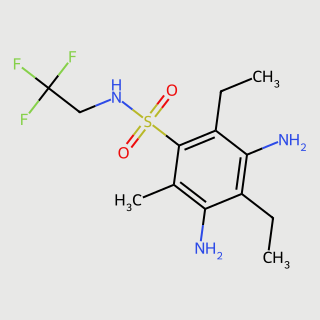 CCc1c(N)c(C)c(S(=O)(=O)NCC(F)(F)F)c(CC)c1N